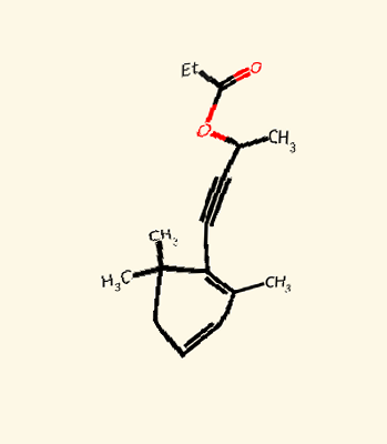 CCC(=O)OC(C)C#CC1=C(C)C=CCC1(C)C